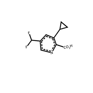 O=C(O)c1ncc(C(F)F)cc1C1CC1